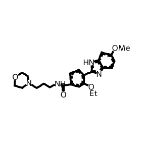 CCOc1cc(C(=O)NCCCN2CCOCC2)ccc1-c1nc2ccc(OC)cc2[nH]1